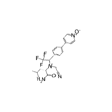 CC(C)C[C@@H](C(N)=O)N(CC#N)C(c1ccc(-c2cc[n+]([O-])cc2)cc1)C(F)(F)F